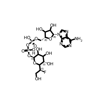 Nc1ncnc2c1ncn2[C@@H]1O[C@H](COP(=O)(O)OP(=O)(O)O[C@@H]2OC([C@@H](F)CO)[C@@H](O)C(O)C2O)C(O)C1O